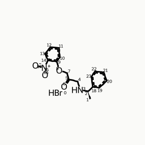 Br.C[C@@H](NCC(=O)COc1ccccc1[N+](=O)[O-])c1ccccc1